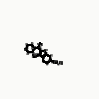 CCOC(=O)N1CCc2c(sc(N(C(C)=O)N3CCOCC3)c2C#N)C1